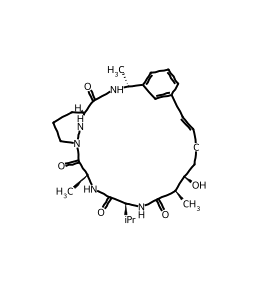 CC(C)[C@@H]1NC(=O)[C@H](C)[C@H](O)CC/C=C/c2cccc(c2)[C@@H](C)NC(=O)[C@@H]2CCCN(N2)C(=O)[C@H](C)NC1=O